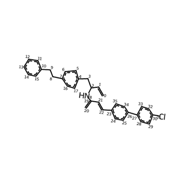 C=CC(Cc1ccc(CCc2ccccc2)cc1)NC(=C)/C=C/c1ccc(-c2ccc(Cl)cc2)cc1